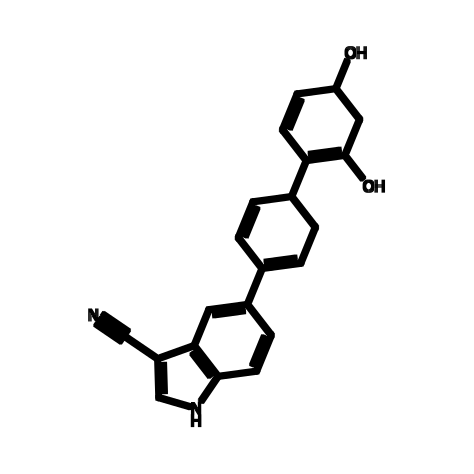 N#Cc1c[nH]c2ccc(C3=CCC(C4=C(O)CC(O)C=C4)C=C3)cc12